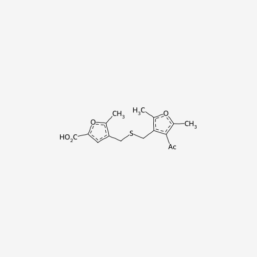 CC(=O)c1c(C)oc(C)c1CSCc1cc(C(=O)O)oc1C